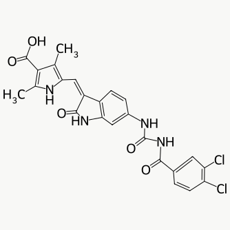 Cc1[nH]c(C=C2C(=O)Nc3cc(NC(=O)NC(=O)c4ccc(Cl)c(Cl)c4)ccc32)c(C)c1C(=O)O